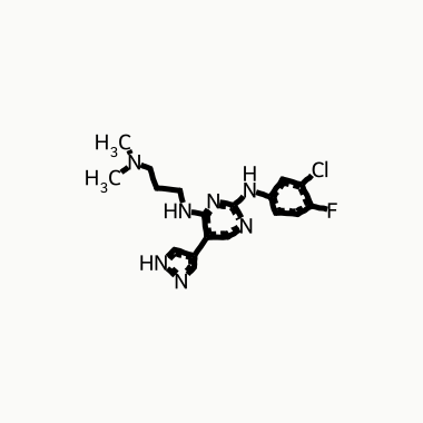 CN(C)CCCNc1nc(Nc2ccc(F)c(Cl)c2)ncc1-c1cn[nH]c1